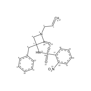 C=CCN1CC(Cc2ccccc2)(NS(=O)(=O)c2ccccc2[N+](=O)[O-])C1=O